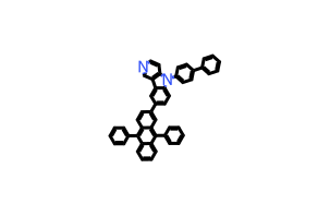 c1ccc(-c2ccc(-n3c4ccncc4c4cc(-c5ccc6c(-c7ccccc7)c7ccccc7c(-c7ccccc7)c6c5)ccc43)cc2)cc1